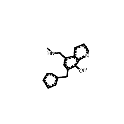 CNCc1cc(Cc2ccccc2)c(O)c2ncccc12